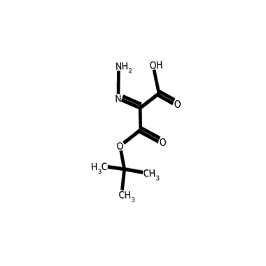 CC(C)(C)OC(=O)C(=NN)C(=O)O